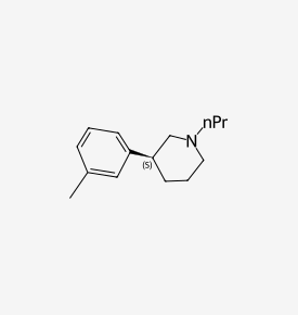 CCCN1CCC[C@@H](c2cccc(C)c2)C1